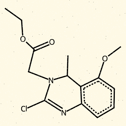 CCOC(=O)CN1C(Cl)=Nc2cccc(OC)c2C1C